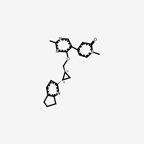 Cc1ncc(-c2ccn(C)c(=O)c2)c(OC[C@H]2C[C@@H]2c2ccc3c(n2)CCC3)n1